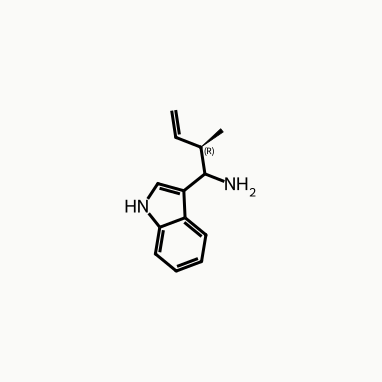 C=C[C@@H](C)C(N)c1c[nH]c2ccccc12